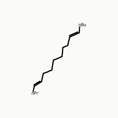 [CH2]CCCC=CCCCCCCC=CCCC